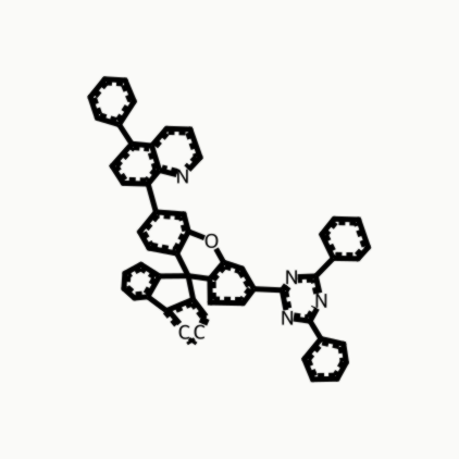 c1ccc(-c2nc(-c3ccccc3)nc(-c3ccc4c(c3)Oc3cc(-c5ccc(-c6ccccc6)c6cccnc56)ccc3C43c4ccccc4-c4ccccc43)n2)cc1